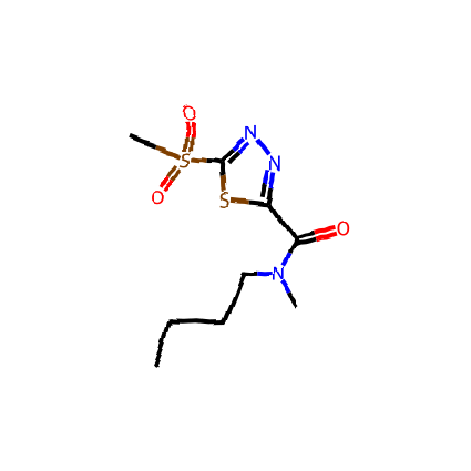 CCCCN(C)C(=O)c1nnc(S(C)(=O)=O)s1